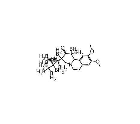 BC1(B)C(=O)C(B)(C(B)(B)C(B)(C(B)(B)B)C(B)(B)B)CN2CCc3cc(OC)c(OC)cc3C21